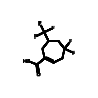 O=C(O)C1=CCC(F)(F)CC(C(F)(F)F)C1